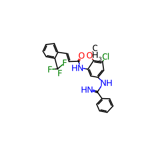 COc1c(Cl)cc(NC(=N)c2ccccc2)cc1NC(=O)/C=C/c1ccccc1C(F)(F)F